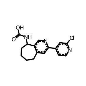 O=C(O)NC1CCCCc2cc(-c3ccnc(Cl)c3)ncc21